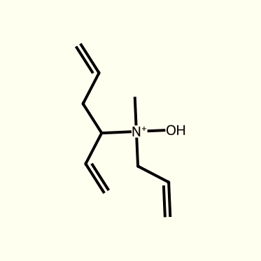 C=CCC(C=C)[N+](C)(O)CC=C